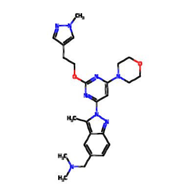 Cc1c2cc(CN(C)C)ccc2nn1-c1cc(N2CCOCC2)nc(OCCc2cnn(C)c2)n1